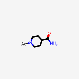 CC(=O)N1CCC(C(N)=O)CC1